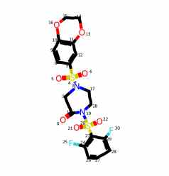 O=C1CN(S(=O)(=O)c2ccc3c(c2)OCCO3)CCN1S(=O)(=O)c1c(F)cccc1F